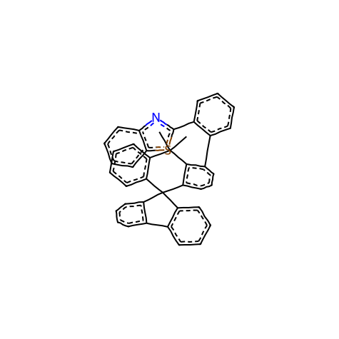 CC1(C)c2ccccc2C2(c3ccccc3-c3ccccc32)c2cccc(-c3ccccc3-c3nc4ccccc4s3)c21